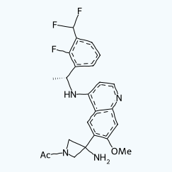 COc1cc2nccc(N[C@H](C)c3cccc(C(F)F)c3F)c2cc1C1(N)CN(C(C)=O)C1